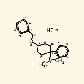 CN(C)C1(c2ccccc2)CCC(OCc2ccccc2)CC1.Cl